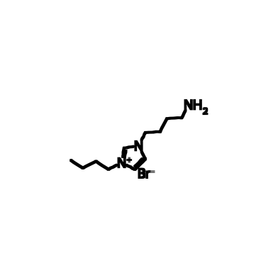 CCCC[n+]1ccn(CCCCN)c1.[Br-]